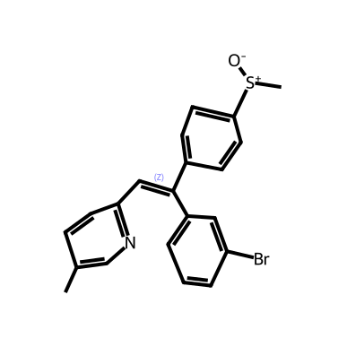 Cc1ccc(/C=C(/c2ccc([S+](C)[O-])cc2)c2cccc(Br)c2)nc1